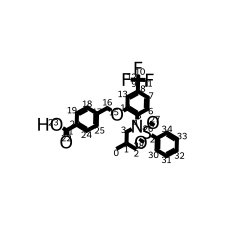 CC(C)CN(c1ccc(C(F)(F)F)cc1OCc1ccc(C(=O)O)cc1)S(=O)(=O)c1ccccc1